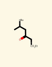 CCCCC(C)CC(=O)CC(=O)OCC